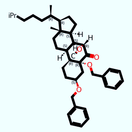 CC(C)CCC[C@@H](C)[C@H]1CC[C@H]2[C@@H]3[C@H]4OC[C@@]5(CC[C@H](OCc6ccccc6)C[C@]5(OCc5ccccc5)C4=O)[C@H]3CC[C@]12C